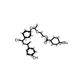 CCC(CC(C)c1ccc(O)cc1)c1ccc(OC(C)OCCOC(=O)C2CCC(C(C)(C)C)CC2)cc1